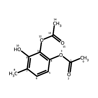 CC(=O)Oc1ccc(C)c(O)c1OC(C)=O